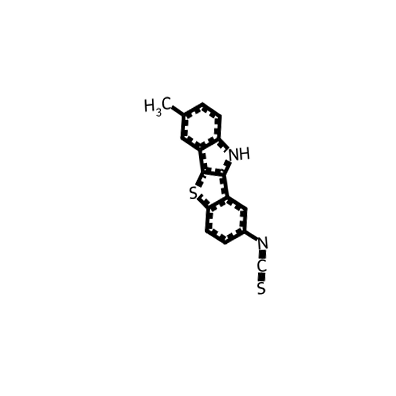 Cc1ccc2[nH]c3c4cc(N=C=S)ccc4sc3c2c1